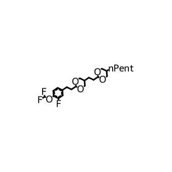 CCCCCC1COC(CCC2COC(CCc3ccc(OC(F)F)c(F)c3)OC2)OC1